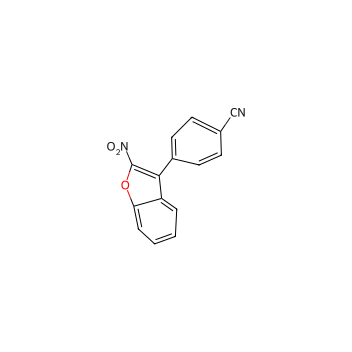 N#Cc1ccc(-c2c([N+](=O)[O-])oc3ccccc23)cc1